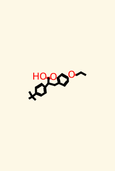 CCCOc1ccc(CC(C(=O)O)c2ccc(C(C)(C)C)cc2)cc1